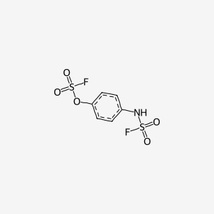 O=S(=O)(F)Nc1ccc(OS(=O)(=O)F)cc1